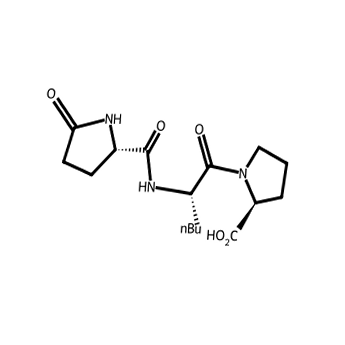 CCCC[C@H](NC(=O)[C@@H]1CCC(=O)N1)C(=O)N1CCC[C@H]1C(=O)O